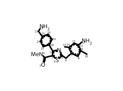 CNC(=O)c1sc(Cc2cc(C)c(N)cc2C)nc1-c1ccc(CN)cc1